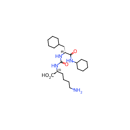 NCCCC[C@H](NC(=O)N[C@H](CC1CCCCC1)C(=O)NC1CCCCC1)C(=O)O